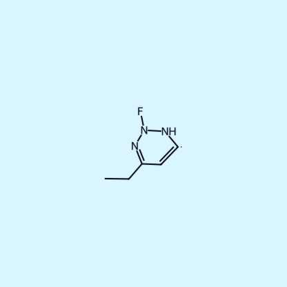 CCC1=NN(F)N[C]=C1